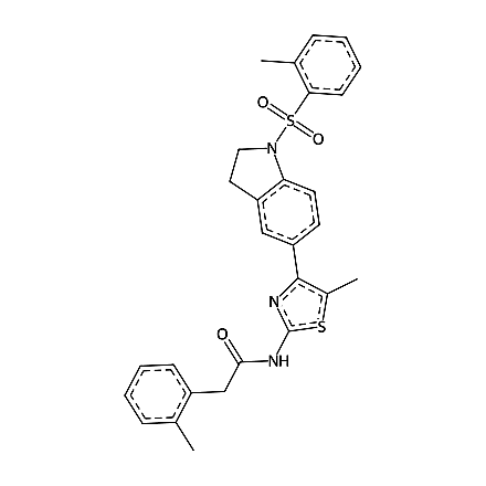 Cc1ccccc1CC(=O)Nc1nc(-c2ccc3c(c2)CCN3S(=O)(=O)c2ccccc2C)c(C)s1